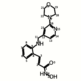 O=C(C=Cc1ccccc1NCc1ccnc(N2CCOCC2)c1)NO